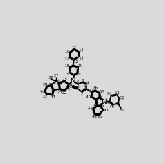 C#C/C=C(\C=C/CN(c1ccc(-c2ccccc2)cc1)c1ccc2c(c1)C(C)(C)c1ccccc1-2)c1ccc2c(c1)c1ccccc1n2C1=CC(C)CC=C1